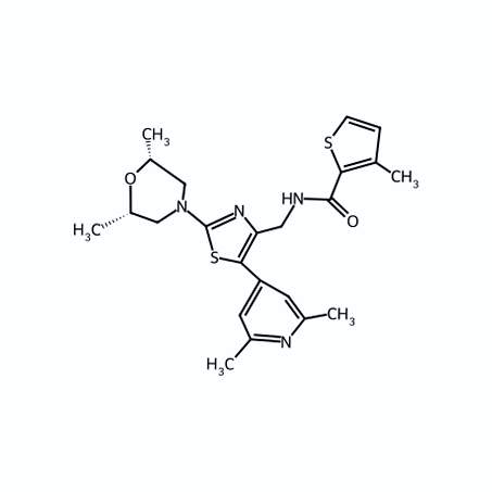 Cc1cc(-c2sc(N3C[C@@H](C)O[C@@H](C)C3)nc2CNC(=O)c2sccc2C)cc(C)n1